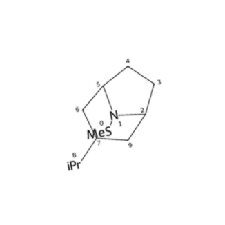 CSN1C2CCC1CC(C(C)C)C2